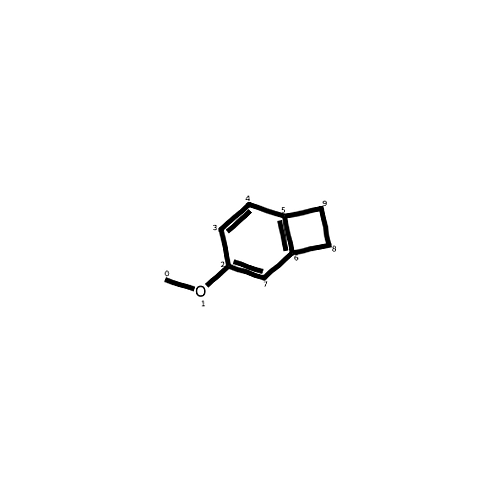 COc1ccc2c(c1)CC2